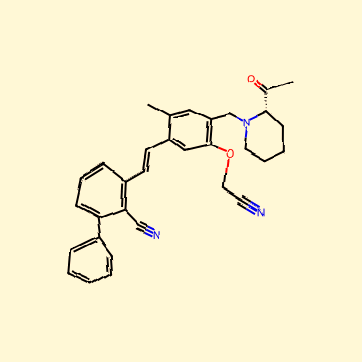 CC(=O)[C@@H]1CCCCN1Cc1cc(C)c(/C=C/c2cccc(-c3ccccc3)c2C#N)cc1OCC#N